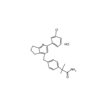 CC(C)(C(N)=O)c1ccc(Cc2cc(-c3cccc(Cl)c3)nc3c2CCC3)cc1.Cl